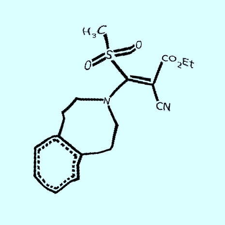 CCOC(=O)C(C#N)=C(N1CCc2ccccc2CC1)S(C)(=O)=O